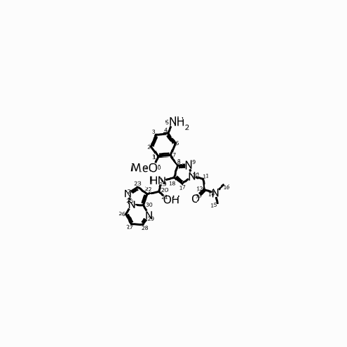 COc1ccc(N)cc1-c1nn(CC(=O)N(C)C)cc1NC(O)c1cnn2cccnc12